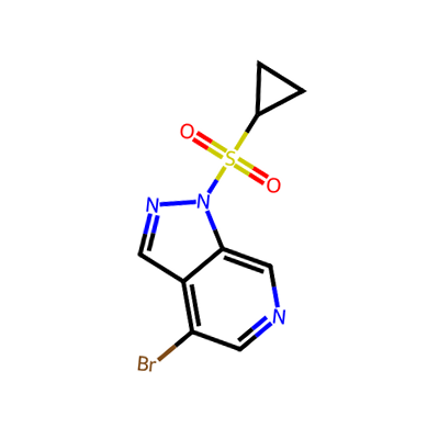 O=S(=O)(C1CC1)n1ncc2c(Br)cncc21